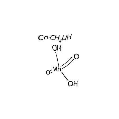 C.[Co].[LiH].[O]=[Mn](=[O])([OH])[OH]